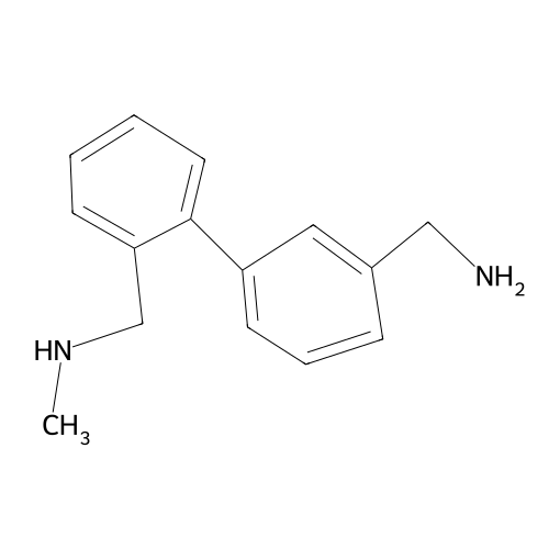 CNCc1ccccc1-c1cccc(CN)c1